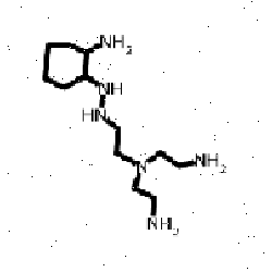 NCCN(CCN)CCNNC1CCCCC1N